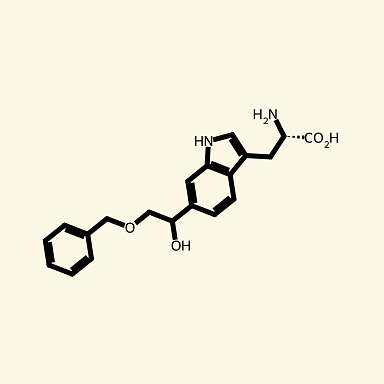 N[C@@H](Cc1c[nH]c2cc(C(O)COCc3ccccc3)ccc12)C(=O)O